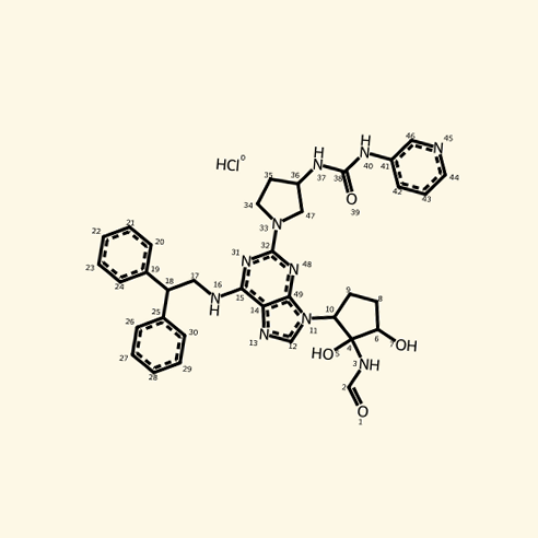 Cl.O=CNC1(O)C(O)CCC1n1cnc2c(NCC(c3ccccc3)c3ccccc3)nc(N3CCC(NC(=O)Nc4cccnc4)C3)nc21